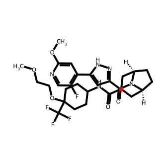 COCCOC1(C(F)(F)F)CCC(NC(=O)C2C[C@H]3CC[C@@H](C2)N3C(=O)c2cc(-c3cc(OC)ncc3F)[nH]n2)CC1